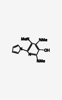 CNc1nc(-n2cccc2)c(NC)c(NC)c1O